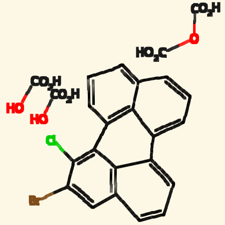 Clc1c(Br)cc2cccc3c4cccc5cccc(c1c23)c54.O=C(O)O.O=C(O)O.O=C(O)OC(=O)O